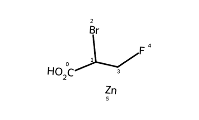 O=C(O)C(Br)CF.[Zn]